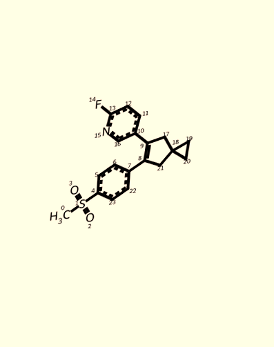 CS(=O)(=O)c1ccc(C2=C(c3ccc(F)nc3)CC3(CC3)C2)cc1